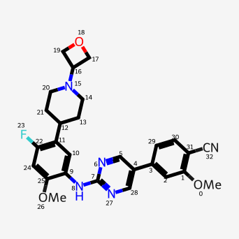 COc1cc(-c2cnc(Nc3cc(C4CCN(C5COC5)CC4)c(F)cc3OC)nc2)ccc1C#N